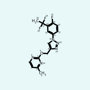 Cc1ccnc(OCc2cn(-c3ccc(F)c(C(C)(F)F)c3)nn2)n1